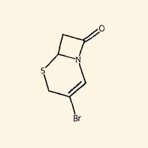 O=C1CC2SCC(Br)=CN12